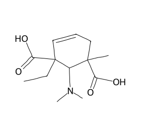 CCC1(C(=O)O)C=CCC(C)(C(=O)O)C1N(C)C